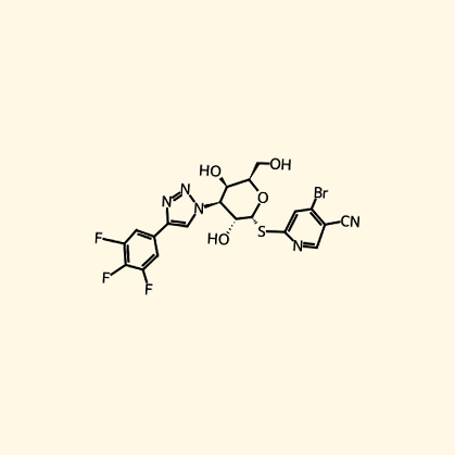 N#Cc1cnc(S[C@H]2O[C@H](CO)[C@H](O)[C@H](n3cc(-c4cc(F)c(F)c(F)c4)nn3)[C@H]2O)cc1Br